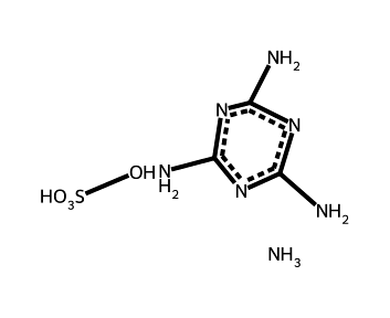 N.Nc1nc(N)nc(N)n1.O=S(=O)(O)O